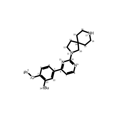 CC(C)Oc1ccc(-c2ccnc(N3CCC4(CCNCC4)C3)n2)cc1C(C)(C)C